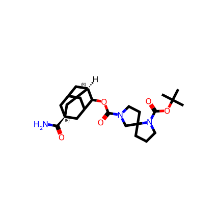 CC(C)(C)OC(=O)N1CCCC12CCN(C(=O)OC1C3CC4C[C@@H]1C[C@@](C(N)=O)(C4)C3)C2